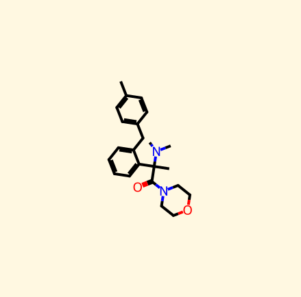 Cc1ccc(Cc2ccccc2C(C)(C(=O)N2CCOCC2)N(C)C)cc1